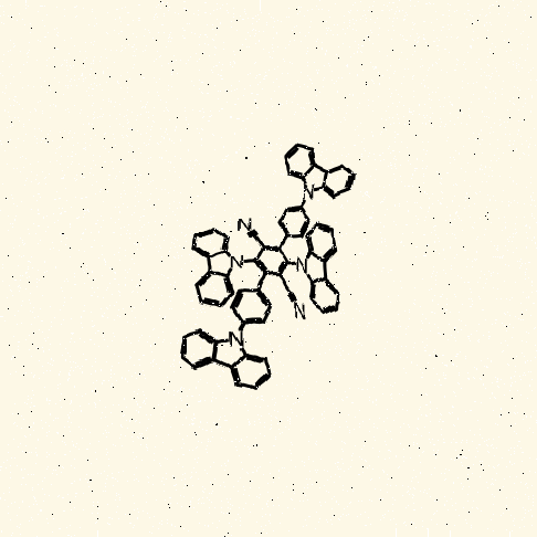 N#Cc1c(-c2ccc(-n3c4ccccc4c4ccccc43)cc2)c(-n2c3ccccc3c3ccccc32)c(C#N)c(-c2ccc(-n3c4ccccc4c4ccccc43)cc2)c1-n1c2ccccc2c2ccccc21